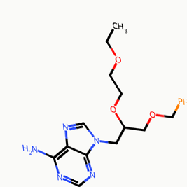 CCOCCOC(COCP)Cn1cnc2c(N)ncnc21